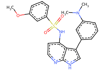 COc1cccc(S(=O)(=O)Nc2ccnc3[nH]cc(-c4cccc(N(C)C)c4)c23)c1